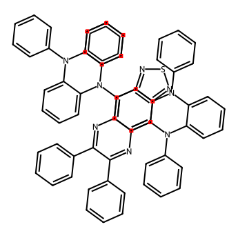 c1ccc(-c2nc3c(N(c4ccccc4)c4ccccc4N(c4ccccc4)c4ccccc4)c4nsnc4c(N(c4ccccc4)c4ccccc4N(c4ccccc4)c4ccccc4)c3nc2-c2ccccc2)cc1